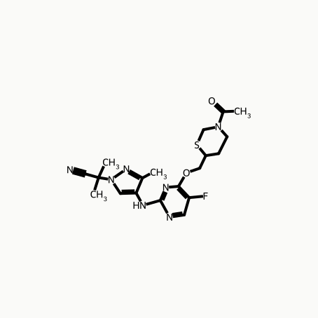 CC(=O)N1CCC(COc2nc(Nc3cn(C(C)(C)C#N)nc3C)ncc2F)SC1